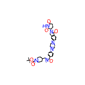 CN(CC1CCN(C(=O)OC(C)(C)C)CC1)C(=O)c1ccc(N2CCN(c3ccc4c(c3)CN(C3CCC(=O)NC3=O)C4=O)CC2)cc1